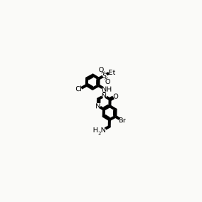 CCS(=O)(=O)c1ccc(Cl)cc1Nn1cnc2cc(CN)c(Br)cc2c1=O